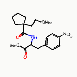 COCCC1(C(=O)NC(Cc2ccc([N+](=O)[O-])cc2)C(=O)OC)CCCC1